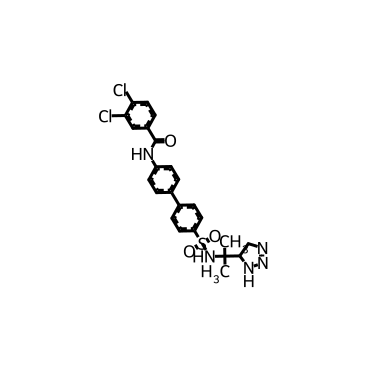 CC(C)(NS(=O)(=O)c1ccc(-c2ccc(NC(=O)c3ccc(Cl)c(Cl)c3)cc2)cc1)C1CN=NN1